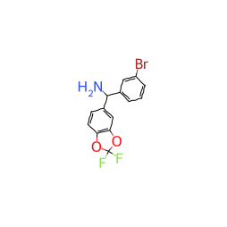 NC(c1cccc(Br)c1)c1ccc2c(c1)OC(F)(F)O2